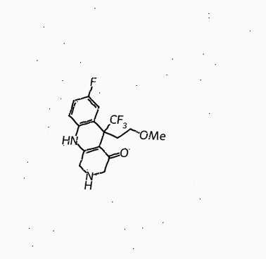 COCCC1(C(F)(F)F)C2=C(CNCC2=O)Nc2ccc(F)cc21